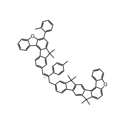 Cc1ccc(/C(=C\c2ccc3c(c2)C(C)(C)c2cc(-c4ccccc4C)c4oc5ccccc5c4c2-3)Cc2ccc3c(c2)C(C)(C)c2cc4c(cc2-3)C(C)(C)c2ccc3oc5ccccc5c3c2-4)cc1